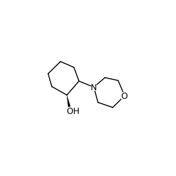 O[C@H]1CCCCC1N1CCOCC1